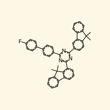 CC1(C)c2ccccc2-c2cc(-c3nc(-c4ccc(-c5ccc(F)cc5)cc4)nc(-c4cccc5c4C(C)(C)c4ccccc4-5)n3)ccc21